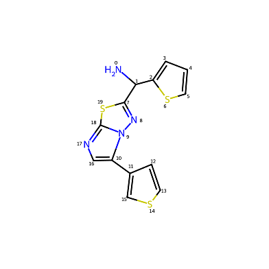 NC(c1cccs1)c1nn2c(-c3ccsc3)cnc2s1